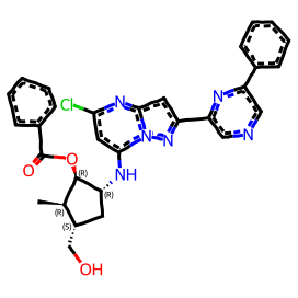 C[C@@H]1[C@@H](CO)C[C@@H](Nc2cc(Cl)nc3cc(-c4cncc(-c5ccccc5)n4)nn23)[C@@H]1OC(=O)c1ccccc1